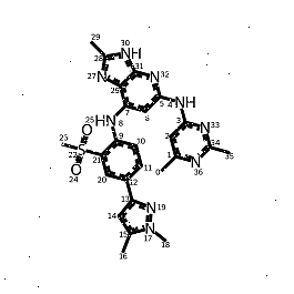 Cc1cc(Nc2cc(Nc3ccc(-c4cc(C)n(C)n4)cc3S(C)(=O)=O)c3nc(C)[nH]c3n2)nc(C)n1